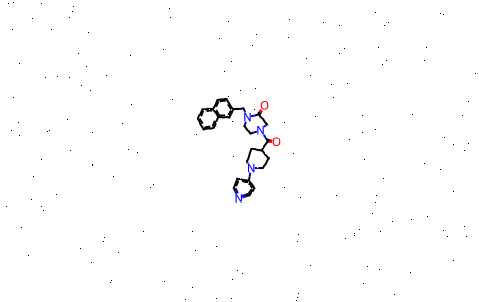 O=C1CN(C(=O)C2CCN(c3ccncc3)CC2)CCN1Cc1ccc2ccccc2c1